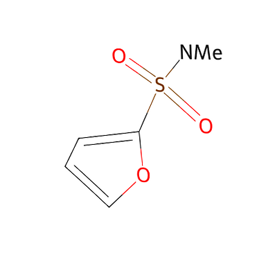 CNS(=O)(=O)c1ccco1